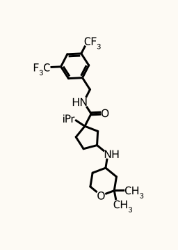 CC(C)C1(C(=O)NCc2cc(C(F)(F)F)cc(C(F)(F)F)c2)CCC(NC2CCOC(C)(C)C2)C1